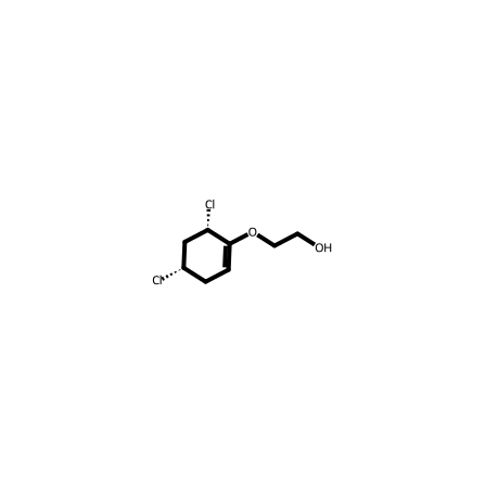 OCCOC1=CC[C@H](Cl)C[C@@H]1Cl